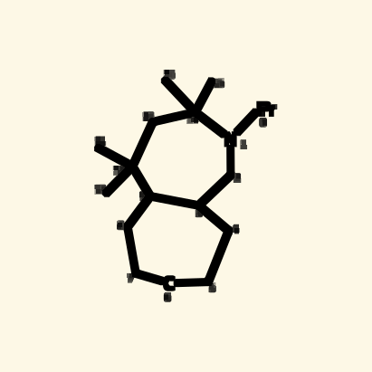 CC(C)N1CC2CCCCCC2C(C)(C)CC1(C)C